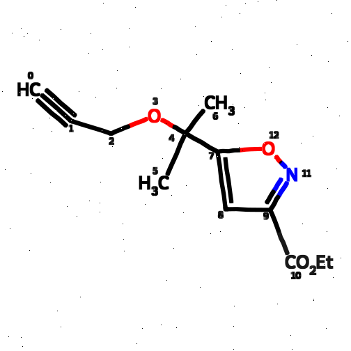 C#CCOC(C)(C)c1cc(C(=O)OCC)no1